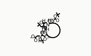 COC(=O)CNC(=O)C(OC(C)=O)[C@H]1NC(=O)[C@@H]2[C@H]3CC(C)(C)O[C@H]3CN2C(=O)[C@@H](NC(=O)OC(C)(C)C)CCCCCCCCC[C@@H]1C